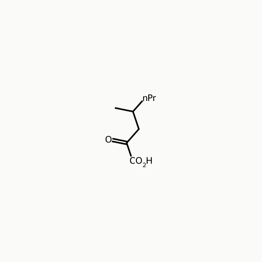 CCCC(C)CC(=O)C(=O)O